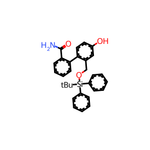 CC(C)(C)[Si](OCc1cc(O)ccc1-c1ccccc1C(N)=O)(c1ccccc1)c1ccccc1